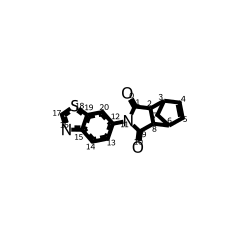 O=C1C2C3C=CC(C3)C2C(=O)N1c1ccc2ncsc2c1